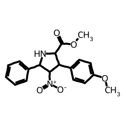 COC(=O)C1NC(c2ccccc2)C([N+](=O)[O-])C1c1ccc(OC)cc1